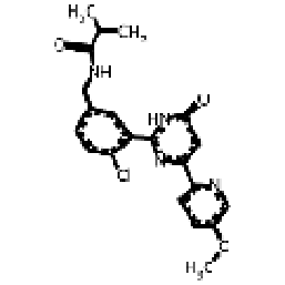 COc1ccc(-c2cc(=O)[nH]c(-c3cc(CNC(=O)C(C)C)ccc3Cl)n2)nc1